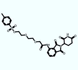 Cc1ccc(S(=O)(=O)OCCOCCOCC(=O)Nc2cccc3c2C(=O)N(C2CCC(=O)NC2=O)C3=O)cc1